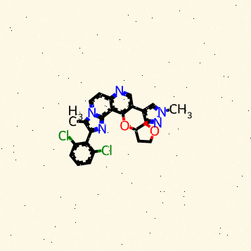 Cc1c(-c2c(Cl)cccc2Cl)nc2c3c(OC4CCOC4)c(-c4cnn(C)c4)cnc3ccn12